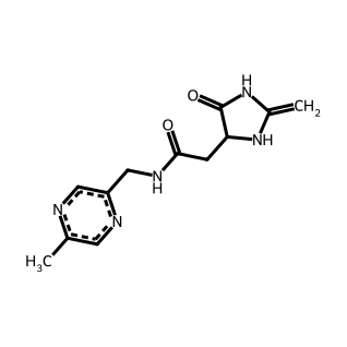 C=C1NC(=O)C(CC(=O)NCc2cnc(C)cn2)N1